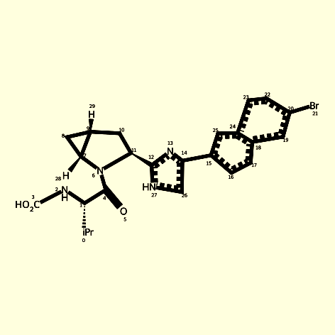 CC(C)[C@H](NC(=O)O)C(=O)N1[C@@H]2C[C@@H]2C[C@H]1c1nc(-c2ccc3cc(Br)ccc3c2)c[nH]1